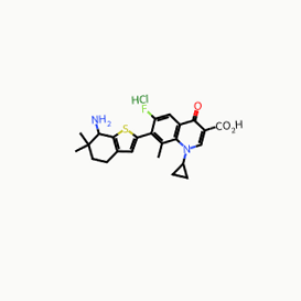 Cc1c(-c2cc3c(s2)C(N)C(C)(C)CC3)c(F)cc2c(=O)c(C(=O)O)cn(C3CC3)c12.Cl